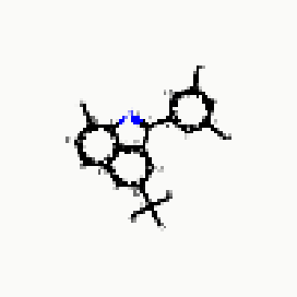 Cc1cc(C)cc(C2=Nc3c(C)ccc4cc(C(C)(C)C)cc2c34)c1